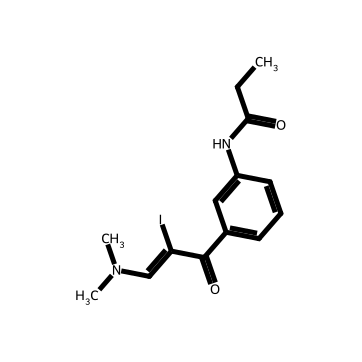 CCC(=O)Nc1cccc(C(=O)C(I)=CN(C)C)c1